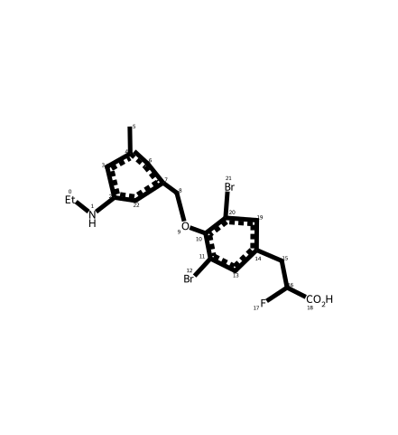 CCNc1cc(C)cc(COc2c(Br)cc(CC(F)C(=O)O)cc2Br)c1